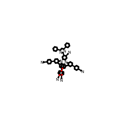 N#Cc1ccc(-c2ccc3c(c2)c2cc(-c4ccc(C#N)cc4)ccc2n3-c2cc(C#N)c(-c3nc(-c4ccccc4)cc(-c4ccccc4)n3)cc2-n2c3ccc(-c4ccc(C#N)cc4)cc3c3cc(-c4ccc(C#N)cc4)ccc32)cc1